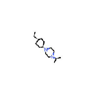 CC[C@H]1CC[C@H](N2CCN(C(C)C)CC2)CC1